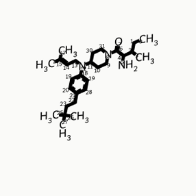 CCC(C)C(N)C(=O)N1CCC(N(CC=C(C)C)c2ccc(CCC(C)(C)C)cc2)CC1